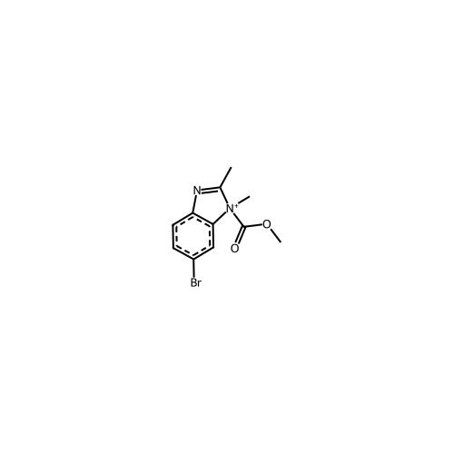 COC(=O)[N+]1(C)C(C)=Nc2ccc(Br)cc21